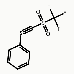 O=S(=O)(C#Sc1ccccc1)C(F)(F)F